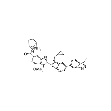 COc1cc(C(=O)N2CC3CCC2[C@@H]3N)cn2nc(-c3cc4ccc(-c5ccn6c(C)nnc6c5)cc4n3CC3CC3)c(C)c12